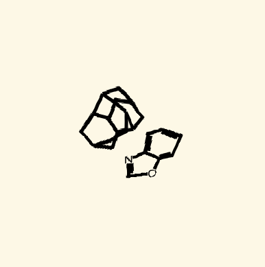 C1C2CC3C4CC5CC(C14)C(C2)C3C5.c1ccc2ocnc2c1